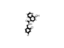 O=C(NCc1ccc(F)cc1Cl)[C@@H]1CC[C@H](O)c2ncccc21